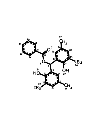 Cc1cc(C(OC(=O)c2ccccc2)c2cc(C)cc(C(C)(C)C)c2O)c(O)c(C(C)(C)C)c1